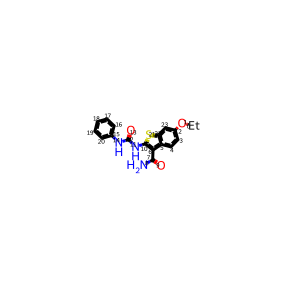 CCOc1ccc2c(C(N)=O)c(NC(=O)Nc3ccccc3)sc2c1